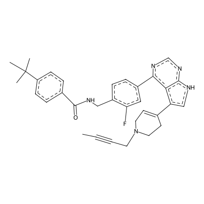 CC#CCN1CC=C(c2c[nH]c3ncnc(-c4ccc(CNC(=O)c5ccc(C(C)(C)C)cc5)c(F)c4)c23)CC1